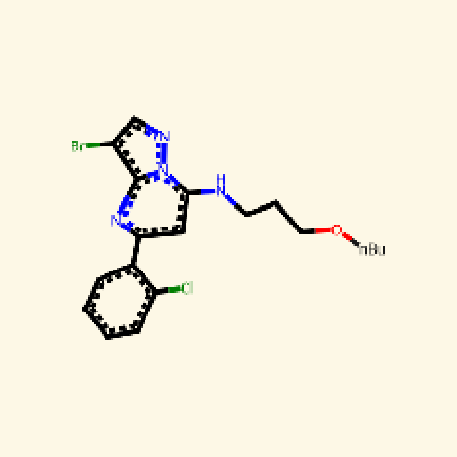 CCCCOCCCNc1cc(-c2ccccc2Cl)nc2c(Br)cnn12